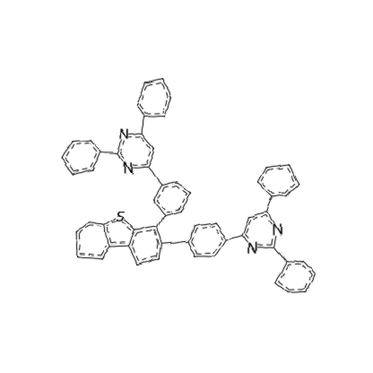 c1ccc(-c2cc(-c3ccc(-c4ccc5c(sc6ccccc65)c4-c4cccc(-c5cc(-c6ccccc6)nc(-c6ccccc6)n5)c4)cc3)nc(-c3ccccc3)n2)cc1